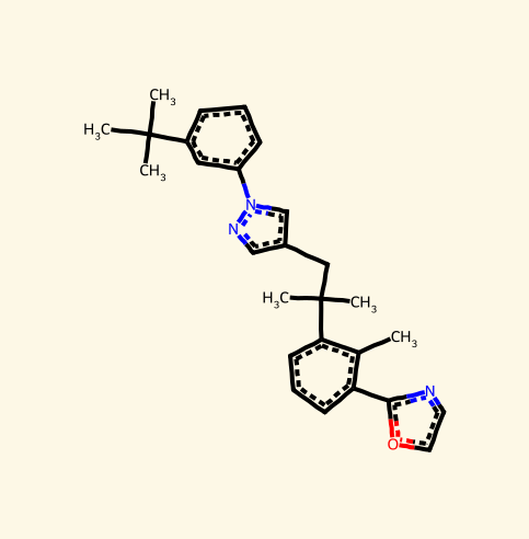 Cc1c(-c2ncco2)cccc1C(C)(C)Cc1cnn(-c2cccc(C(C)(C)C)c2)c1